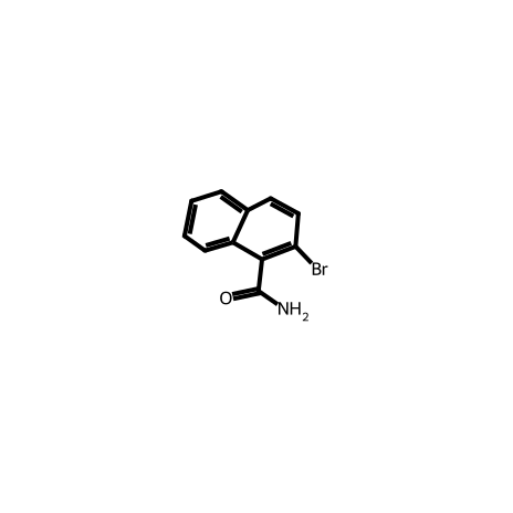 NC(=O)c1c(Br)ccc2ccccc12